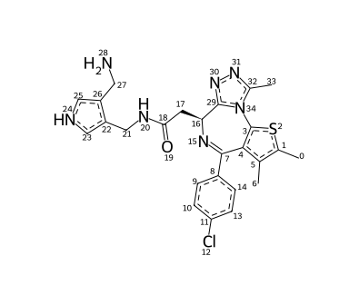 Cc1sc2c(c1C)C(c1ccc(Cl)cc1)=N[C@@H](CC(=O)NCc1c[nH]cc1CN)c1nnc(C)n1-2